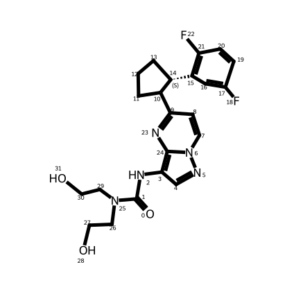 O=C(Nc1cnn2ccc(C3CCC[C@@H]3c3cc(F)ccc3F)nc12)N(CCO)CCO